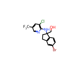 OCC1(Nc2ncc(C(F)(F)F)cc2Cl)CCc2cc(Br)ccc21